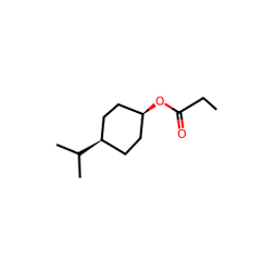 CCC(=O)O[C@H]1CC[C@@H](C(C)C)CC1